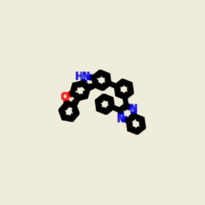 c1ccc(-c2nc3ccccc3nc2-c2cccc(-c3ccc4[nH]c5cc6oc7ccccc7c6cc5c4c3)c2)cc1